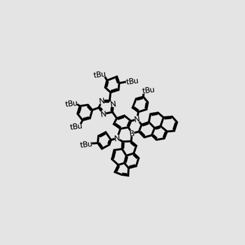 CC(C)(C)c1ccc(N2c3cc(-c4nc(-c5cc(C(C)(C)C)cc(C(C)(C)C)c5)nc(-c5cc(C(C)(C)C)cc(C(C)(C)C)c5)n4)cc4c3B(c3cc5ccc6cccc7ccc(c32)c5c67)c2cc3ccc5cccc6ccc(c2N4c2ccc(C(C)(C)C)cc2)c3c56)cc1